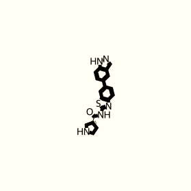 O=C(Nc1nc2ccc(-c3ccc4[nH]ncc4c3)cc2s1)[C@@H]1CCNC1